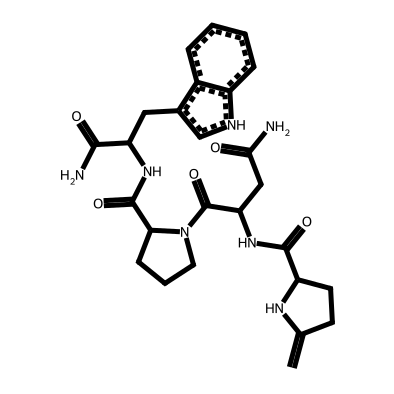 C=C1CCC(C(=O)NC(CC(N)=O)C(=O)N2CCCC2C(=O)NC(Cc2c[nH]c3ccccc23)C(N)=O)N1